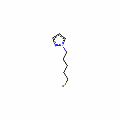 BrCCCCCn1cccn1